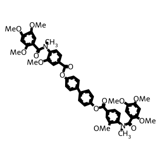 COc1cc(OC)c(C(=O)N(C)c2ccc(C(=O)Oc3ccc(-c4ccc(OC(=O)c5ccc(N(C)C(=O)c6cc(OC)c(OC)cc6OC)c(OC)c5)cc4)cc3)cc2OC)cc1OC